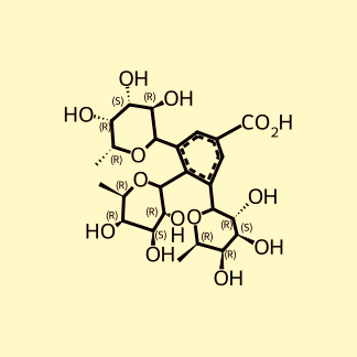 C[C@H]1OC(c2cc(C(=O)O)cc(C3O[C@H](C)[C@H](O)[C@H](O)[C@H]3O)c2C2O[C@H](C)[C@H](O)[C@H](O)[C@H]2O)[C@H](O)[C@@H](O)[C@H]1O